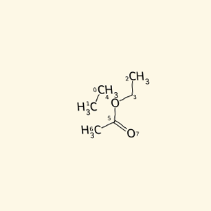 CC.CCOC(C)=O